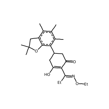 CCON=C(CC)C1=C(O)CC(c2c(C)c(C)c(C)c3c2OC(C)(C)C3)CC1=O